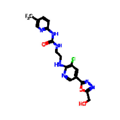 O=C(NCCNc1ncc(-c2nnc(CO)o2)cc1Cl)Nc1ccc(C(F)(F)F)cn1